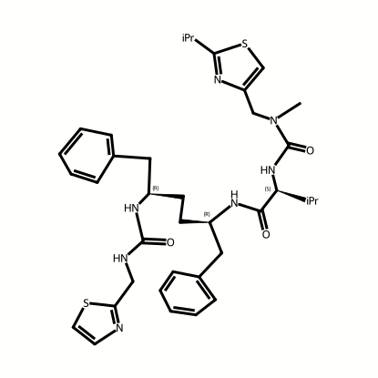 CC(C)c1nc(CN(C)C(=O)N[C@H](C(=O)N[C@H](CC[C@H](Cc2ccccc2)NC(=O)NCc2nccs2)Cc2ccccc2)C(C)C)cs1